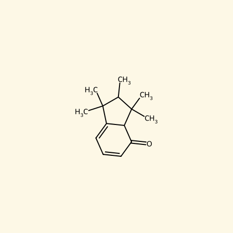 CC1C(C)(C)C2=CC=CC(=O)C2C1(C)C